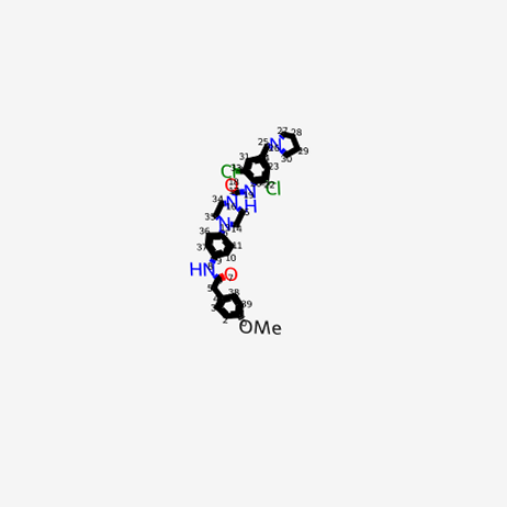 COc1ccc(CC(=O)Nc2ccc(N3CCN(C(=O)Nc4c(Cl)cc(CN5CCCC5)cc4Cl)CC3)cc2)cc1